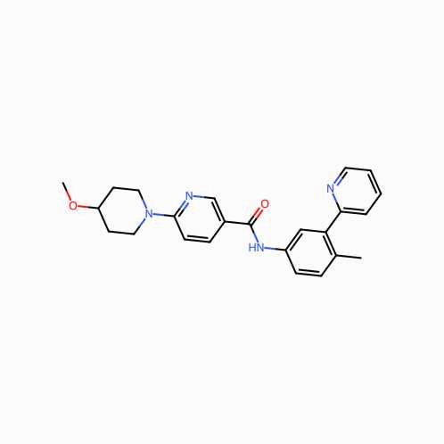 COC1CCN(c2ccc(C(=O)Nc3ccc(C)c(-c4ccccn4)c3)cn2)CC1